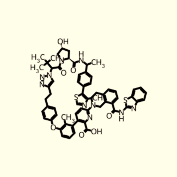 Cc1ncsc1-c1ccc(C(C)NC(=O)[C@@H]2C[C@@H](O)CN2C(=O)C(n2cc(CCc3ccc(Oc4cccc(-c5ccc(N6CCc7cccc(C(=O)Nc8nc9ccccc9s8)c7C6)nc5C(=O)O)c4C)cc3)nn2)C(C)(C)C)cc1